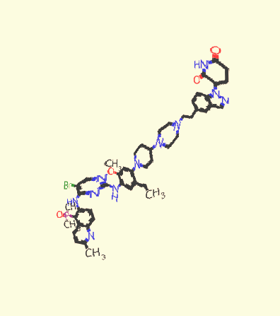 CCc1cc(Nc2ncc(Br)c(Nc3ccc4nc(C)ccc4c3P(C)(C)=O)n2)c(OC)cc1N1CCC(N2CCN(CCc3ccc4c(cnn4C4CCC(=O)NC4=O)c3)CC2)CC1